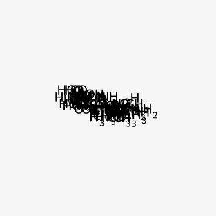 CC(=O)c1ccc(C[C@H](NC(=O)[C@@H](CCC(=O)O)NC(=O)[C@@H](CCC(=O)O)NC(=O)[C@@H](CCC(=O)O)NC(=O)[C@@H](CCC(=O)O)NC(=O)[C@H](N)CCC(=O)O)C(=O)NCCOCC(=O)N[C@@H](CCCNC(=N)N)C(=O)N2CCC[C@H]2C(=O)N[C@@H](CC(C)C)C(=O)N[C@@H](C)C(=O)N[C@@H](CC(C)C)C(=O)N[C@@H](Cc2c[nH]c3ccccc23)C(=O)N[C@@H](CCCNC(=N)N)C(C)=O)cc1